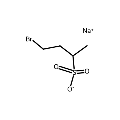 CC(CCBr)S(=O)(=O)[O-].[Na+]